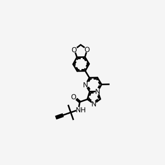 C#CC(C)(C)NC(=O)c1ncn2c(C)cc(-c3ccc4c(c3)OCO4)nc12